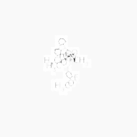 COc1ccc(CCC(C(=O)OC(C)(C)C)N(C)C(=O)OCC2c3ccccc3-c3ccccc32)cc1F